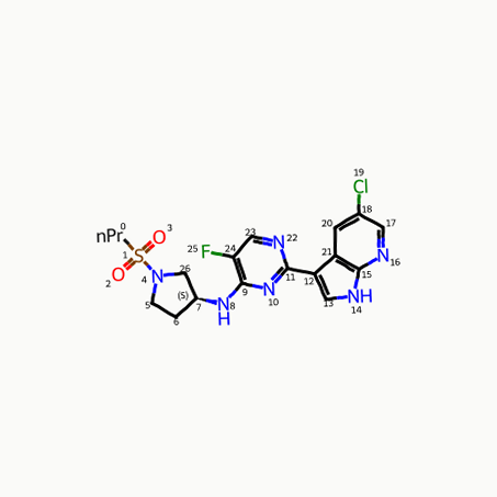 CCCS(=O)(=O)N1CC[C@H](Nc2nc(-c3c[nH]c4ncc(Cl)cc34)ncc2F)C1